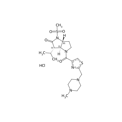 CC(C)[C@@H]1C(=O)N(S(C)(=O)=O)[C@@H]2CCN(C(=O)c3csc(CN4CCN(C)CC4)n3)[C@H]21.Cl